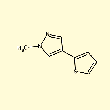 Cn1cc(-c2cc[c]s2)cn1